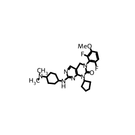 COc1ccc(F)c(N2Cc3cnc(NC4CCC(N(C)C)CC4)nc3N(C3CCCC3)C2=O)c1F